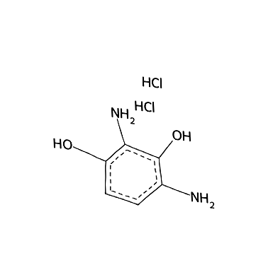 Cl.Cl.Nc1ccc(O)c(N)c1O